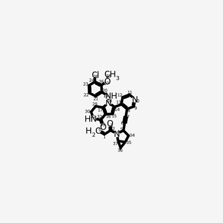 C=CC(=O)N1C(C#Cc2cnccc2-c2cc3c(n2Nc2cccc(Cl)c2OC)CCNC3=O)CC2CC21